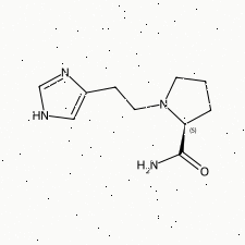 NC(=O)[C@@H]1CCCN1CCc1c[nH]cn1